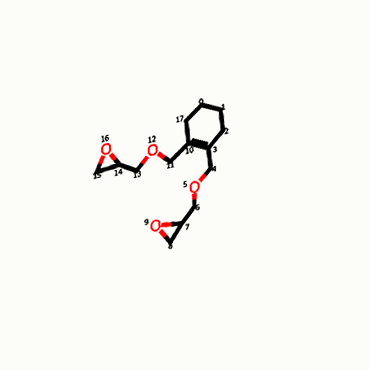 C1CCC(COCC2CO2)=C(COCC2CO2)C1